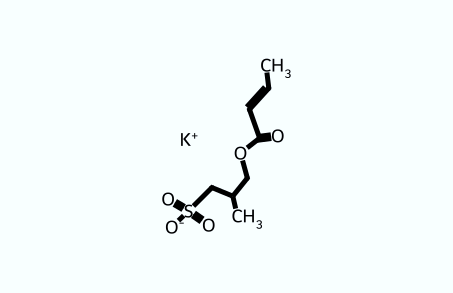 CC=CC(=O)OCC(C)CS(=O)(=O)[O-].[K+]